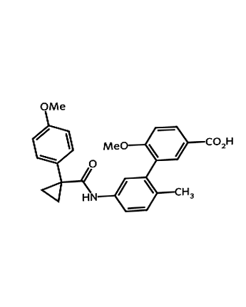 COc1ccc(C2(C(=O)Nc3ccc(C)c(-c4cc(C(=O)O)ccc4OC)c3)CC2)cc1